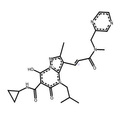 Cc1nn2c(O)c(C(=O)NC3CC3)c(=O)n(CC(C)C)c2c1/C=C/C(=O)N(C)Cc1cnccn1